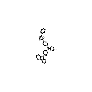 Cc1ccc(N(c2ccc(-c3nnc(-c4ccccc4)o3)cc2)c2ccc(-n3c4ccccc4c4ccccc43)cc2)cc1